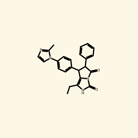 CCc1[nH]c(=O)n2c1C(c1ccc(-n3ccnc3C)cc1)C(c1ccccc1)C2=O